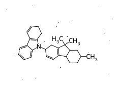 CC1CCC2C3=C(CC(n4c5c(c6ccccc64)C=CCC5)C=C3)C(C)(C)C2C1